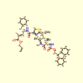 C=CCOC(=O)/C(C)=C/[C@H](Cc1ccccc1)NC(=O)c1csc([C@@H](C[C@H](C(C)C)N(C)C(=O)[C@@H](NC(=O)OCC2c3ccccc3-c3ccccc32)[C@@H](C)CC)OC(C)=O)n1